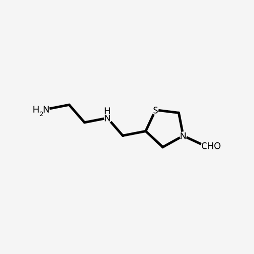 NCCNCC1CN(C=O)CS1